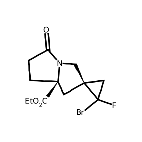 CCOC(=O)[C@@]12CCC(=O)N1C[C@]1(CC1(F)Br)C2